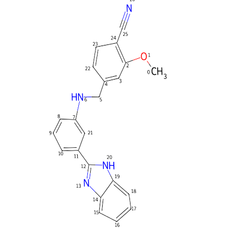 COc1cc(CNc2cccc(-c3nc4ccccc4[nH]3)c2)ccc1C#N